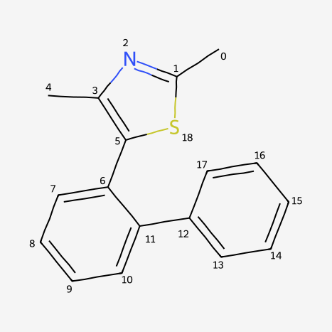 Cc1nc(C)c(-c2ccccc2-c2ccccc2)s1